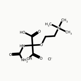 C[N+](C)(C)CCOC(NC(N)=O)(C(=O)O)C(=O)O.[Cl-]